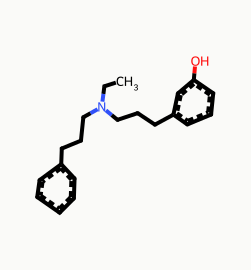 CCN(CCCc1ccccc1)CCCc1cccc(O)c1